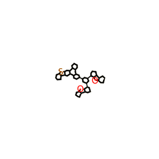 c1ccc2c(c1)oc1c(-c3cc(-c4ccc5c(c4)c4ccccc4c4cc6sc7ccccc7c6cc54)cc(-c4cccc5c4oc4ccccc45)c3)cccc12